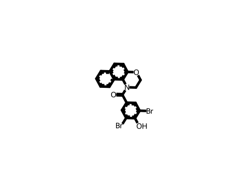 O=C(c1cc(Br)c(O)c(Br)c1)N1CCOc2ccc3ccccc3c21